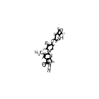 Cc1cc2c(nc1N1CC[C@@H](OC3=Cc4cocc4NC3)[C@H](F)C1)CNC2=O